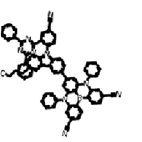 CCCCc1ccc2c(c1)c1cc(-c3cc4c5c(c3)N(c3ccccc3)c3cc(C#N)ccc3B5c3ccc(C#N)cc3N4c3ccccc3)ccc1n2-c1ccc(C#N)cc1-c1nc(-c2ccccc2)nc(-c2ccccc2)n1